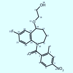 Cc1cc([N+](=O)[O-])ccc1C(=O)N1CCCC(OCCO)c2cc(F)ccc21